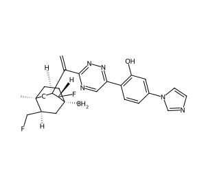 B[C@@]12CC[C@@](C)(C[C@@H](C(=C)c3ncc(-c4ccc(-n5ccnc5)cc4O)nn3)[C@@H]1F)[C@H](CF)C2